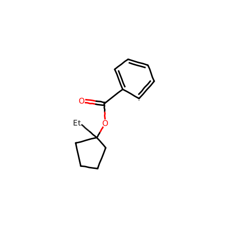 CCC1(OC(=O)c2[c]cccc2)CCCC1